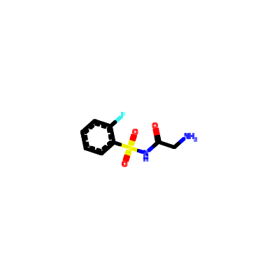 NCC(=O)NS(=O)(=O)c1ccccc1F